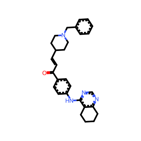 O=C(/C=C/C1CCN(Cc2ccccc2)CC1)c1ccc(Nc2ncnc3c2CCCC3)cc1